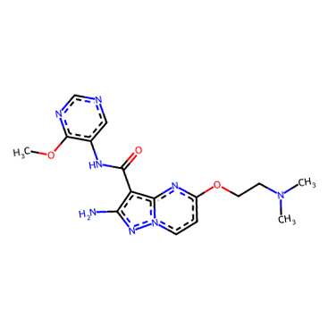 COc1ncncc1NC(=O)c1c(N)nn2ccc(OCCN(C)C)nc12